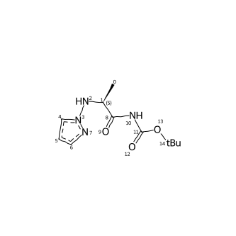 C[C@H](Nn1cccn1)C(=O)NC(=O)OC(C)(C)C